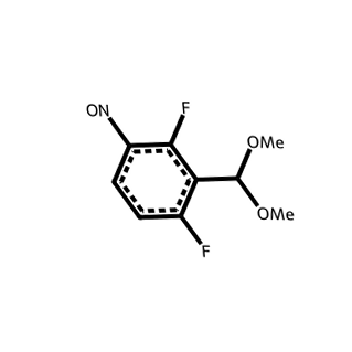 COC(OC)c1c(F)ccc(N=O)c1F